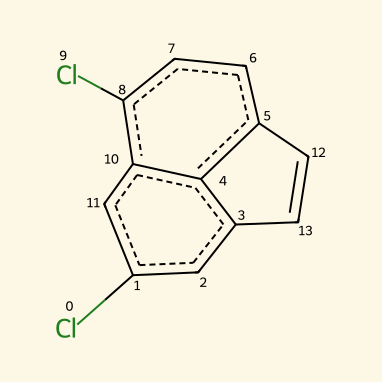 Clc1cc2c3c(ccc(Cl)c3c1)C=C2